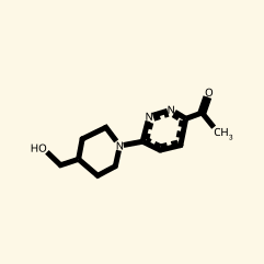 CC(=O)c1ccc(N2CCC(CO)CC2)nn1